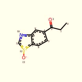 CCC(=O)c1ccc2c(c1)nc[s+]2[O-]